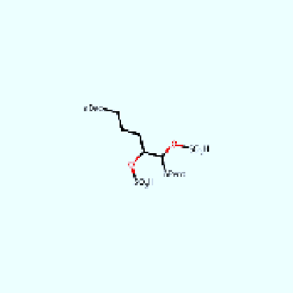 CCCCCCCCCCCCCC(OS(=O)(=O)O)C(CCCCC)OS(=O)(=O)O